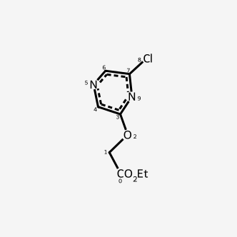 CCOC(=O)COc1cncc(Cl)n1